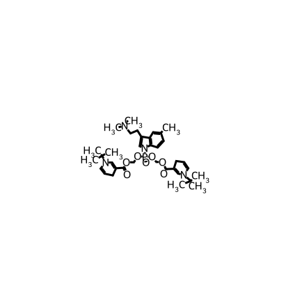 Cc1ccc2c(c1)c(CCN(C)C)cn2P(=O)(OCOC(=O)C1=CN(C(C)(C)C)C=CC1)OCOC(=O)C1=CN(C(C)(C)C)C=CC1